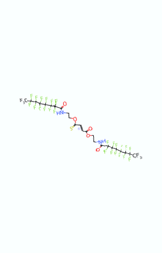 O=C(/C=C/C(=S)OCCNC(=O)C(F)(F)C(F)(F)C(F)(F)C(F)(F)C(F)(F)C(F)(F)C(F)(F)F)OCCNC(=O)C(F)(F)C(F)(F)C(F)(F)C(F)(F)C(F)(F)C(F)(F)C(F)(F)F